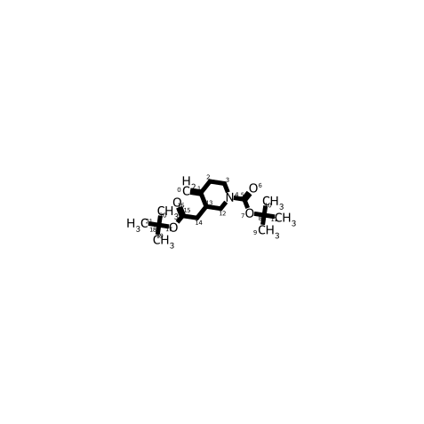 C=C1CCN(C(=O)OC(C)(C)C)CC1CC(=O)OC(C)(C)C